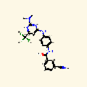 CN(C)c1nc(Nc2ccc(NC(=O)c3cccc(C#N)c3)cc2)cc(C(F)(F)F)n1